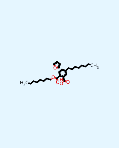 CCCCCCCCOC(=O)c1ccc(CCCCCCCC)cc1C(=O)O.c1ccoc1